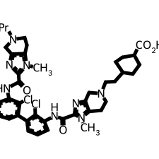 CC(C)N1CCc2c(nc(C(=O)Nc3cccc(-c4cccc(NC(=O)c5nc6c(n5C)CCN(CCC5CCC(C(=O)O)CC5)C6)c4Cl)c3Cl)n2C)C1